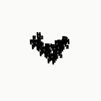 Bc1c(F)c(F)c(F)c(F)c1F.Bc1c(F)c(F)c(F)c(F)c1F.Bc1c(F)c(F)c(F)c(F)c1F.Bc1c(F)c(F)c(F)c(F)c1F.CCNCC